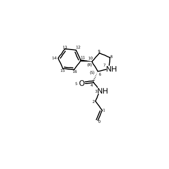 C=CCNC(=O)[C@H]1NCC[C@@H]1c1ccccc1